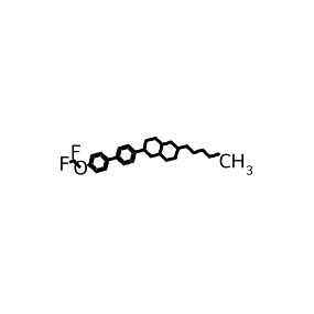 CCCCCCC1CCC2CC(c3ccc(-c4ccc(OC(F)F)cc4)cc3)CCC2C1